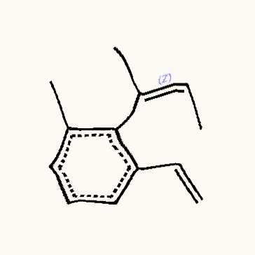 C=Cc1cccc(C)c1/C(C)=C\C